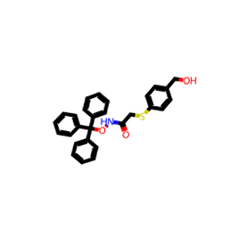 O=C(CSc1ccc(CO)cc1)NOC(c1ccccc1)(c1ccccc1)c1ccccc1